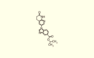 CC(C)OC(=O)c1ccc2c(c1)ncn2-c1cnc2c(c1)CCC(=O)N2